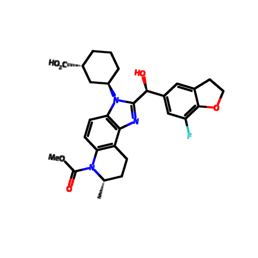 COC(=O)N1c2ccc3c(nc([C@@H](O)c4cc(F)c5c(c4)CCO5)n3[C@@H]3CCC[C@@H](C(=O)O)C3)c2CC[C@@H]1C